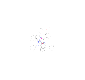 O=C1c2cccc(-c3ccc4c(c3)c3cc(-c5ccccc5)ccc3n4-c3ccccc3)c2-c2c1cccc2-c1nc(-c2ccccc2)nc(-c2ccccc2)n1